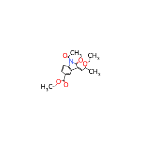 CCOC(=O)c1ccc2c(c1)C(=CC(C)OCC)C(=O)N2C(C)=O